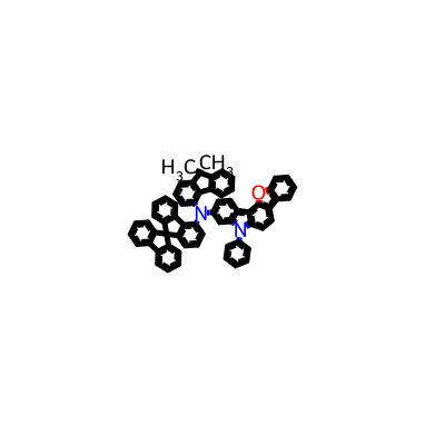 CC1(C)c2ccccc2-c2c(N(c3ccc4c5c6oc7ccccc7c6ccc5n(-c5ccccc5)c4c3)c3cccc4c3-c3ccccc3C43c4ccccc4-c4ccccc43)cccc21